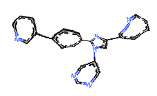 c1ccc(-c2cn(-c3cncnc3)c(-c3ccc(-c4cccnc4)cc3)n2)nc1